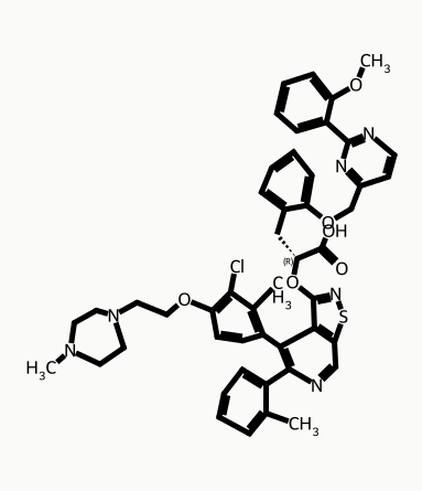 COc1ccccc1-c1nccc(COc2ccccc2C[C@@H](Oc2nsc3cnc(-c4ccccc4C)c(-c4ccc(OCCN5CCN(C)CC5)c(Cl)c4C)c23)C(=O)O)n1